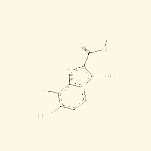 CCCNC(=O)c1nc2c(Br)c(C)ccn2c1N